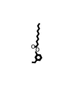 CCCCCCCCCC(=O)OCc1cccc(CC)c1